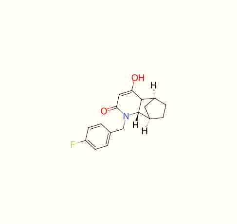 O=C1C=C(O)C2[C@H]3CC[C@H](C3)[C@@H]2N1Cc1ccc(F)cc1